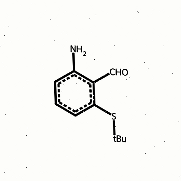 CC(C)(C)Sc1cccc(N)c1C=O